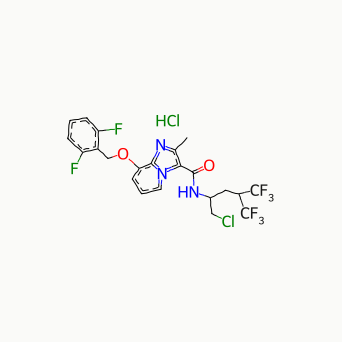 Cc1nc2c(OCc3c(F)cccc3F)cccn2c1C(=O)NC(CCl)CC(C(F)(F)F)C(F)(F)F.Cl